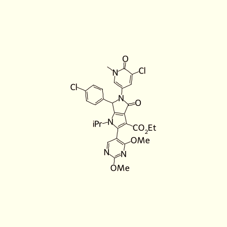 CCOC(=O)c1c2c(n(C(C)C)c1-c1cnc(OC)nc1OC)C(c1ccc(Cl)cc1)N(c1cc(Cl)c(=O)n(C)c1)C2=O